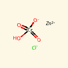 [Cl-].[O]=[Cr](=[O])([O-])[OH].[Zn+2]